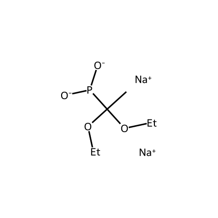 CCOC(C)(OCC)P([O-])[O-].[Na+].[Na+]